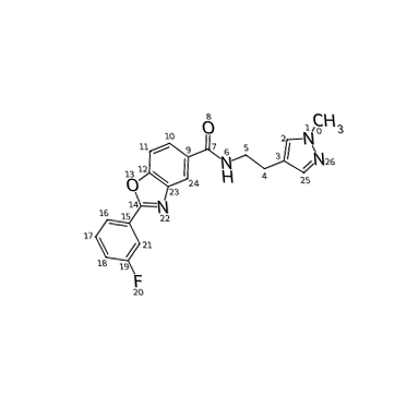 Cn1cc(CCNC(=O)c2ccc3oc(-c4cccc(F)c4)nc3c2)cn1